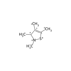 CC1=C(C)C(C)N(C)S1